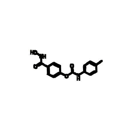 Cc1ccc(NC(=O)Oc2ccc(C(=O)NO)cc2)cc1